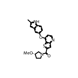 CO[C@H]1CCN(C(=O)c2cc3nccc(Oc4ccc5[nH]c(C)cc5c4)c3s2)C1